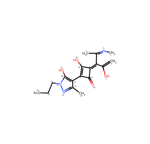 C=C(O)C(/C(C)=N\C)=C1\C(=O)C(c2c(C)nn(CCOC(C)=O)c2O)=C1O